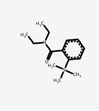 CCN(CC)C(=O)c1ccccc1[Si](C)(C)C